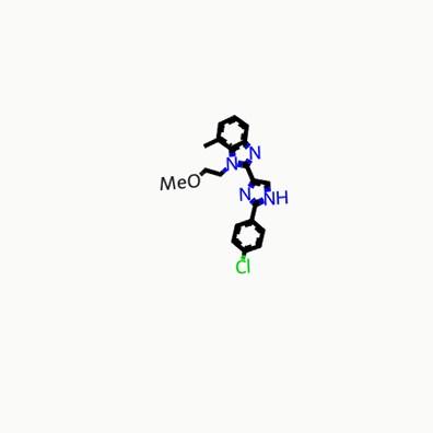 COCCn1c(-c2c[nH]c(-c3ccc(Cl)cc3)n2)nc2cccc(C)c21